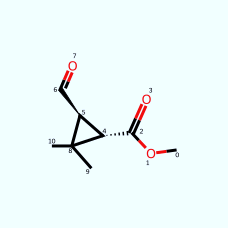 COC(=O)[C@H]1[C@H](C=O)C1(C)C